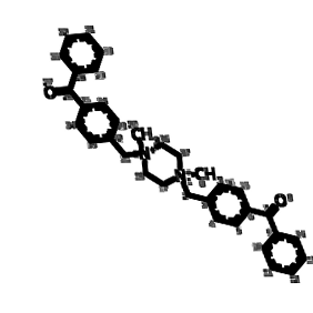 C[N+]1(Cc2ccc(C(=O)c3ccccc3)cc2)CC[N+](C)(Cc2ccc(C(=O)c3ccccc3)cc2)CC1